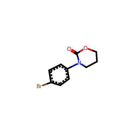 O=C1OCCCN1c1ccc(Br)cc1